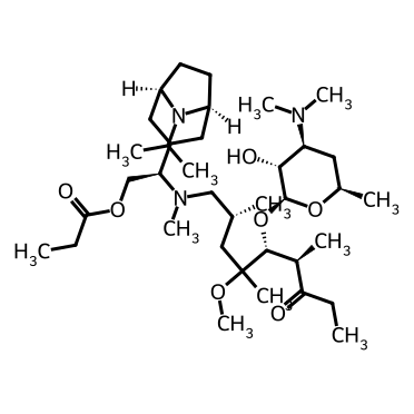 CCC(=O)OC[C@@H](C1C[C@H]2CC[C@@H](C1)N2C(C)C)N(C)C[C@H](C)CC(C)(OC)[C@H](O[C@@H]1O[C@H](C)C[C@H](N(C)C)[C@H]1O)[C@@H](C)C(=O)CC